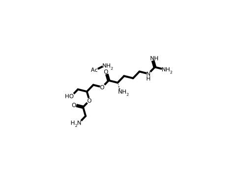 CC(N)=O.N=C(N)NCCC[C@H](N)C(=O)OCC(CO)OC(=O)CN